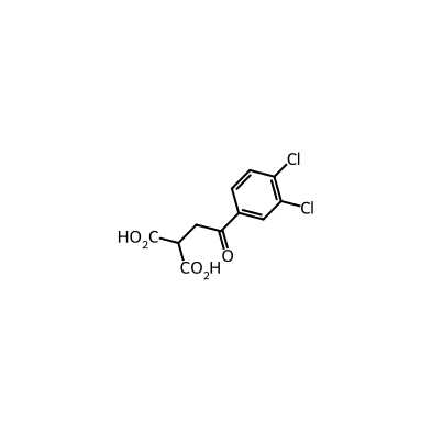 O=C(CC(C(=O)O)C(=O)O)c1ccc(Cl)c(Cl)c1